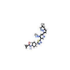 CC(C)Nc1cc(-c2ccc3cc(C#N)cnn23)ncc1-c1nnc([C@H]2CC[C@H](NC(=O)C3CC3)CC2)s1